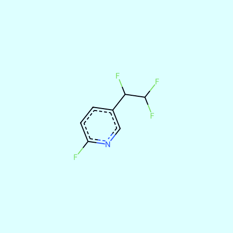 Fc1ccc(C(F)C(F)F)cn1